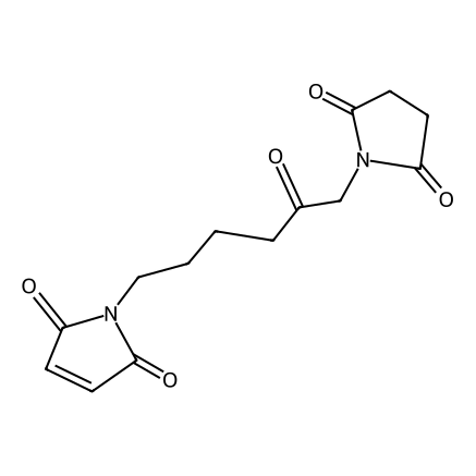 O=C(CCCCN1C(=O)C=CC1=O)CN1C(=O)CCC1=O